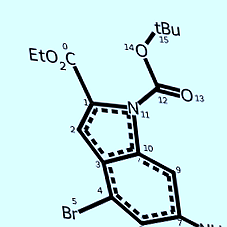 CCOC(=O)c1cc2c(Br)cc(N)cc2n1C(=O)OC(C)(C)C